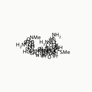 CC[C@H](C)[C@H](NC(=O)[C@H](CCSC)NC(=O)CC(CNCCN)CNCCN)C(=O)N[C@H](C(=O)N[C@H](C(=O)N[C@@H](CCC(=O)O)C(=O)N[C@@H](CC(C)C)C(=O)NCC(=O)N[C@H](C(=O)N[C@@H](CC(N)=O)C(=O)N1CCC[C@H]1C(=O)NC)[C@@H](C)O)C(C)C)C(C)C